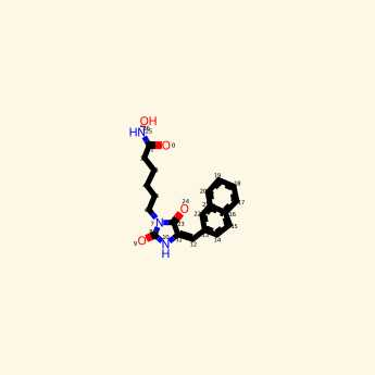 O=C(CCCCCN1C(=O)NC(=Cc2ccc3ccccc3c2)C1=O)NO